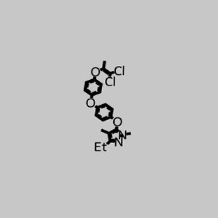 CCc1nn(C)c(Oc2ccc(Oc3ccc(OC(C)=C(Cl)Cl)cc3)cc2)c1C